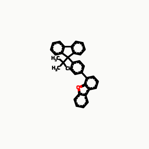 CC(C)(C)C1(c2ccc(-c3cccc4c3oc3ccccc34)cc2)c2ccccc2-c2ccccc21